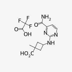 CC1(C(=O)O)CC(Nc2nccc(C(N)=O)n2)C1.O=C(O)C(F)(F)F